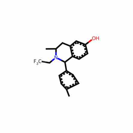 Cc1ccc(C2c3ccc(O)cc3CC(C)N2CC(F)(F)F)cc1